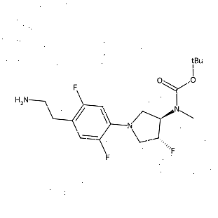 CN(C(=O)OC(C)(C)C)[C@@H]1CN(c2cc(F)c(CCN)cc2F)C[C@H]1F